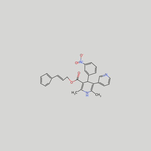 CC1=C(C(=O)OC/C=C/c2ccccc2)C(c2cccc([N+](=O)[O-])c2)C(c2cccnc2)=C(C)N1